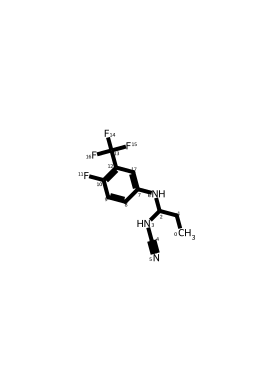 CCC(NC#N)Nc1ccc(F)c(C(F)(F)F)c1